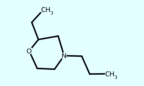 CCCN1CCOC(CC)C1